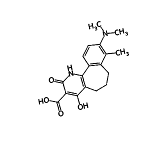 Cc1c(N(C)C)ccc2c1CCCc1c-2[nH]c(=O)c(C(=O)O)c1O